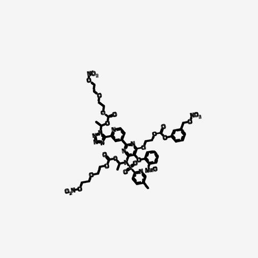 COc1ccccc1Oc1c(OCCOC(=O)Oc2cccc(CO[N+](=O)[O-])c2)nc(-c2ccnc(-c3nnnn3C(C)OC(=O)OCCOCCO[N+](=O)[O-])c2)nc1N(C(C)OC(=O)OCCOCCO[N+](=O)[O-])S(=O)(=O)c1ccc(C)cn1